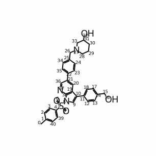 Cc1ccc(S(=O)(=O)n2cc(-c3ccc(CO)cc3)c3cc(-c4ccc(CN5CCCC(O)C5)cc4)cnc32)cc1